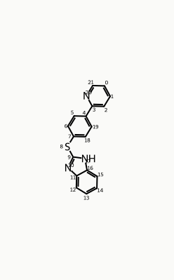 c1ccc(-c2ccc(Sc3nc4ccccc4[nH]3)cc2)nc1